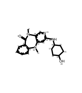 CN1C(=O)c2ccccc2N(C)c2cc(NC3CCC(O)CC3)ncc21